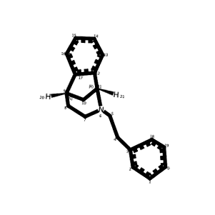 c1ccc(CCN2CC[C@H]3C[C@@H]2c2ccccc23)cc1